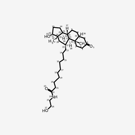 C[C@]12CCC(=O)C[C@@H]1CC[C@@H]1[C@@H]2[C@@H](CCCCCCCCCC(=O)NCCO)C[C@]2(C)[C@@H](O)CC[C@@H]12